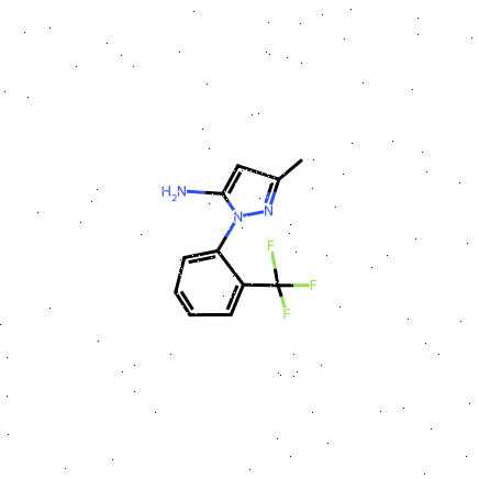 Cc1cc(N)n(-c2ccccc2C(F)(F)F)n1